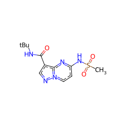 CC(C)(C)NC(=O)c1cnn2ccc(NS(C)(=O)=O)nc12